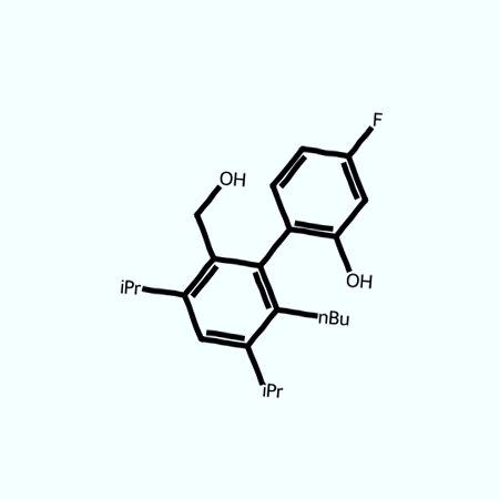 CCCCc1c(C(C)C)cc(C(C)C)c(CO)c1-c1ccc(F)cc1O